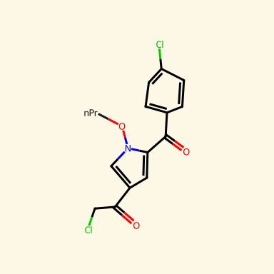 CCCOn1cc(C(=O)CCl)cc1C(=O)c1ccc(Cl)cc1